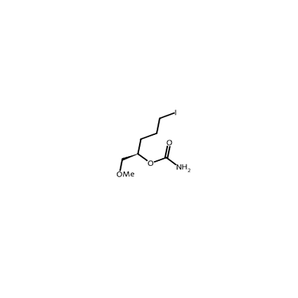 COC[C@@H](CCCI)OC(N)=O